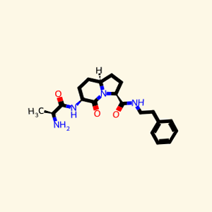 C[C@H](N)C(=O)N[C@H]1CC[C@H]2CC[C@@H](C(=O)NCCc3ccccc3)N2C1=O